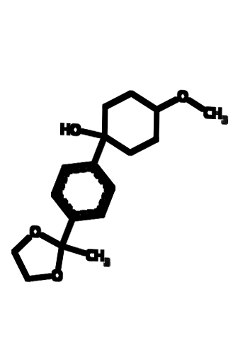 COC1CCC(O)(c2ccc(C3(C)OCCO3)cc2)CC1